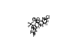 CC(C)(C)c1cc(CN(Cc2ccc(Cl)nc2)C2=CC(=O)OC2)n(CC(F)F)n1